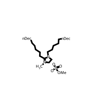 CCCCCCCCCCCCCCCC1=[N+](C)CCN1CCCCCCCCCCCCCCC.COS(=O)(=O)[O-]